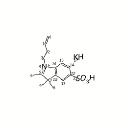 C=CCC[N+]1=C(C)C(C)(C)c2cc(S(=O)(=O)O)ccc21.[KH]